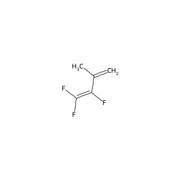 C=C(C)C(F)=C(F)F